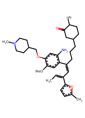 C/C=C(/C=C(/CCCC1CCC(CCC)C(=O)C1)c1cc(OC)c(OCC2CCN(C)CC2)cc1N)c1ccc(C)o1